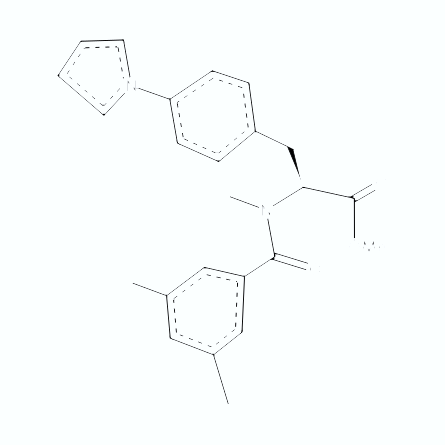 COC(=O)[C@H](Cc1ccc(-n2cccc2)cc1)N(C)C(=O)c1cc(C)cc(C)c1